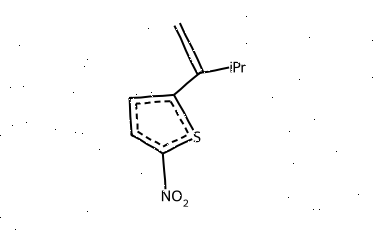 C=C(c1ccc([N+](=O)[O-])s1)C(C)C